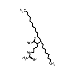 CCCCCCCCCCCCN(CCCCCCCC)C(CCCNC(=N)N)C(=O)O